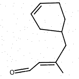 CC(=CC=O)CC1CC=CCC1